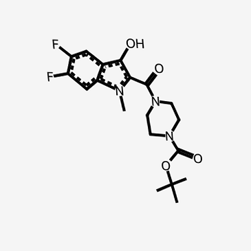 Cn1c(C(=O)N2CCN(C(=O)OC(C)(C)C)CC2)c(O)c2cc(F)c(F)cc21